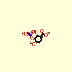 COC(=O)C1CC[C@@H](OC)[C@H](ON(O)O)C1